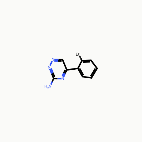 CCc1ccccc1-c1cnnc(N)n1